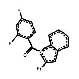 CCc1cc2ccccc2n1C(=O)c1ccc(F)cc1F